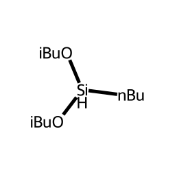 CCCC[SiH](OCC(C)C)OCC(C)C